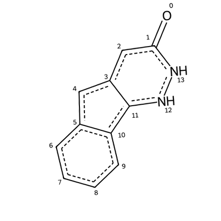 O=c1cc2cc3ccccc3c-2[nH][nH]1